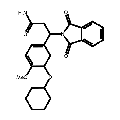 COC1=CC=C(C(CC(N)=O)N2C(=O)c3ccccc3C2=O)CC1OC1CCCCC1